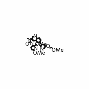 COCCOc1cncc(-c2ccc3ncc4c(c3c2)n(-c2ccc(OC)nc2OC)c(=O)n4C)c1